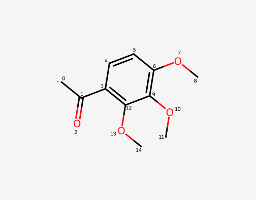 [CH2]C(=O)c1ccc(OC)c(OC)c1OC